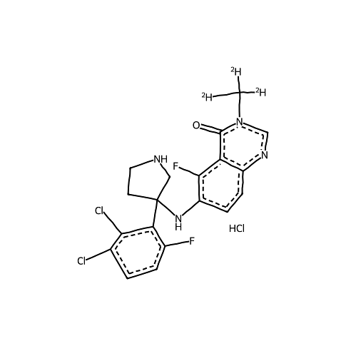 Cl.[2H]C([2H])([2H])n1cnc2ccc(NC3(c4c(F)ccc(Cl)c4Cl)CCNC3)c(F)c2c1=O